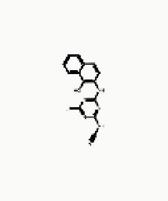 N#CNc1nc(Cl)nc(Nc2ccc3ccccc3c2O)n1